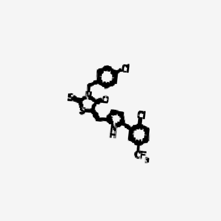 O=C1/C(=C\c2ccc(-c3cc(C(F)(F)F)ccc3Cl)[nH]2)SC(=S)N1Cc1ccc(Cl)cc1